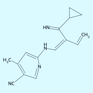 C=C/C(=C/Nc1cc(C)c(C#N)cn1)C(=N)C1CC1